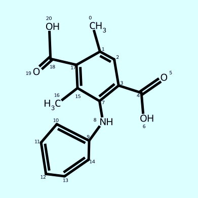 Cc1cc(C(=O)O)c(Nc2ccccc2)c(C)c1C(=O)O